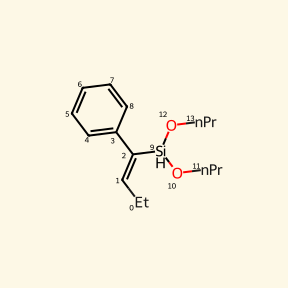 CCC=C(c1ccccc1)[SiH](OCCC)OCCC